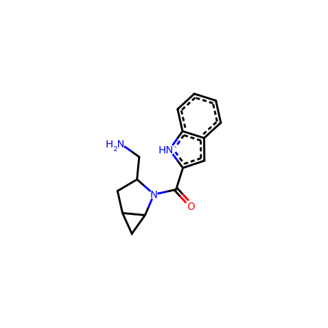 NCC1CC2CC2N1C(=O)c1cc2ccccc2[nH]1